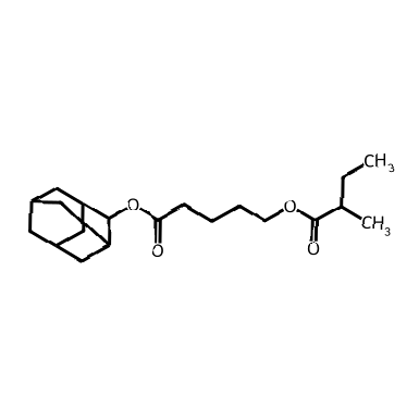 CCC(C)C(=O)OCCCCC(=O)OC1C2CC3CC(C2)CC1C3